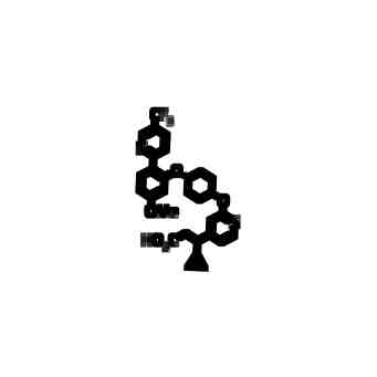 COc1ccc(-c2ccc(C(F)(F)F)cn2)c(O[C@H]2CC[C@H](Oc3cc(C(CC(=O)O)C4CC4)ccn3)CC2)c1